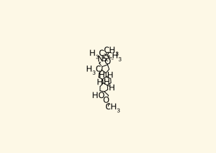 CCOC[C@@]1(O)CC[C@H]2[C@H](CC[C@@H]3[C@@H]2CC[C@]2(C)[C@@H](/C=N\[S@+]([O-])C(C)(C)C)CC[C@@H]32)C1